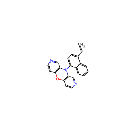 C=Cc1ccc(N2c3cnccc3Oc3ccncc32)c2ccccc12